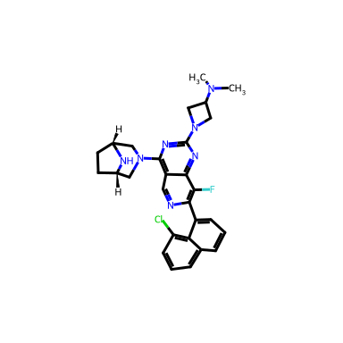 CN(C)C1CN(c2nc(N3C[C@H]4CC[C@@H](C3)N4)c3cnc(-c4cccc5cccc(Cl)c45)c(F)c3n2)C1